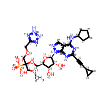 COCC(COCc1nn[nH]n1)(OC[C@H]1O[C@@H](n2ncc3c(NC4CCCC4)nc(C#CC4CC4)nc32)[C@H](O)[C@@H]1O)P(=O)(O)O